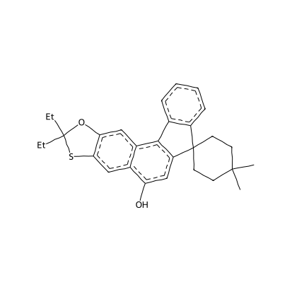 CCC1(CC)Oc2cc3c4c(cc(O)c3cc2S1)C1(CCC(C)(C)CC1)c1ccccc1-4